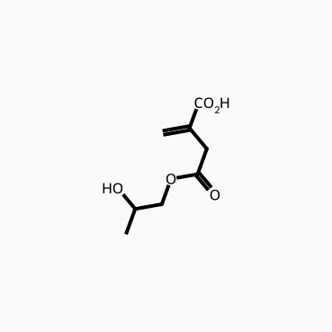 C=C(CC(=O)OCC(C)O)C(=O)O